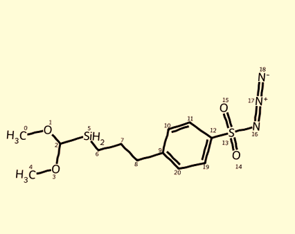 COC(OC)[SiH2]CCCc1ccc(S(=O)(=O)N=[N+]=[N-])cc1